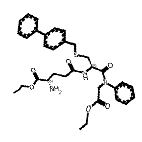 CCOC(=O)CN(C(=O)[C@H](CSCc1ccc(-c2ccccc2)cc1)NC(=O)CC[C@H](N)C(=O)OCC)c1ccccc1